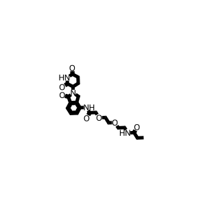 CCC(=O)NCCOCCOCC(=O)Nc1cccc2c1CN(C1CCC(=O)NC1=O)C2=O